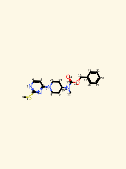 CSc1nccc(N2CCC(N(C)C(=O)OCc3ccccc3)CC2)n1